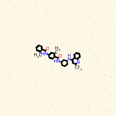 Cc1ccccc1C(=O)Nc1ccc(C(=O)N[C@@H]2CCC[C@H](Nc3cc(C(F)(F)F)nc4ccccc34)C2)c(C)c1